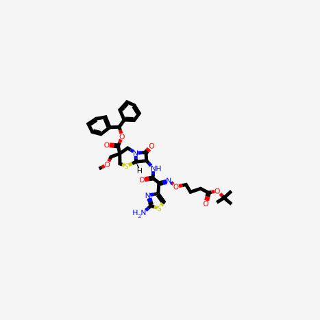 COCC1(C(=O)OC(c2ccccc2)c2ccccc2)CS[C@@H]2C(NC(=O)C(=NOCCCC(=O)OC(C)(C)C)c3csc(N)n3)C(=O)N2C1